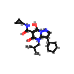 CC(C)Cn1c(=O)c(C(=O)NC2CC2)c(O)n2ncc(C3=CCCCC3)c12